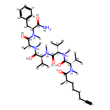 C#CCCCC[C@@H](C)C(=O)N(C)[C@H](C(=O)N(C)[C@H](C(=O)N(C)[C@H](C(=O)N(C)[C@@H](C)C(=O)N(C)[C@@H](Cc1ccccc1)C(N)=O)C(C)C)C(C)C)C(C)C